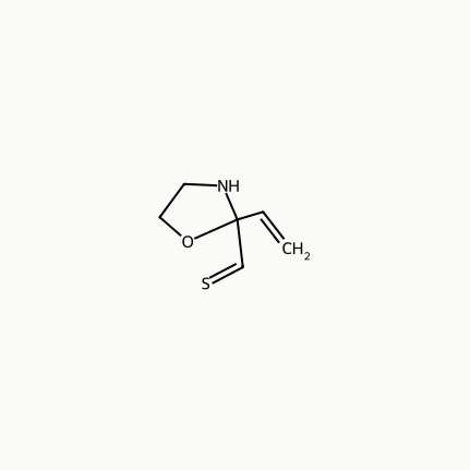 C=CC1(C=S)NCCO1